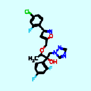 CC(OCc1cc(-c2ccc(Cl)cc2F)no1)C(O)(Cn1cncn1)c1ccc(F)cc1F